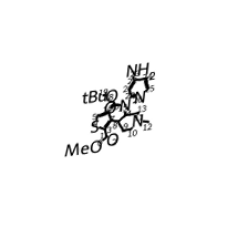 COC(=O)c1sccc1C1CCN(C)CC1N(C(=O)OC(C)(C)C)c1cc(N)ccn1